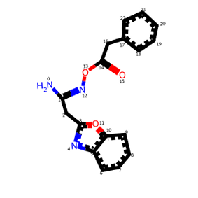 NC(Cc1nc2ccccc2o1)=NOC(=O)Cc1ccccc1